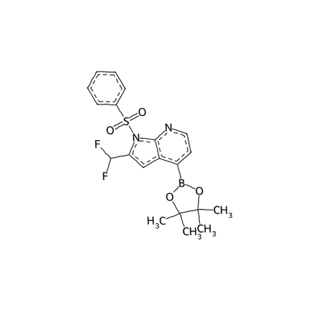 CC1(C)OB(c2ccnc3c2cc(C(F)F)n3S(=O)(=O)c2ccccc2)OC1(C)C